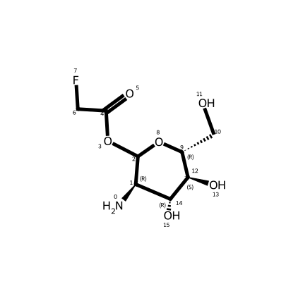 N[C@H]1C(OC(=O)CF)O[C@H](CO)[C@@H](O)[C@@H]1O